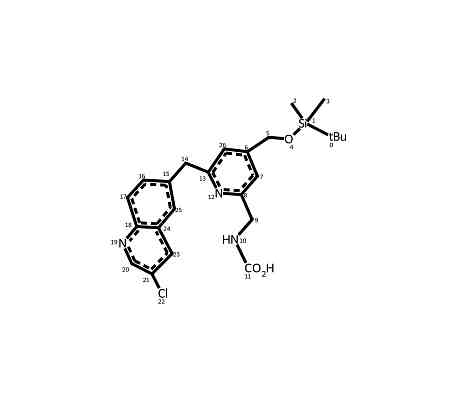 CC(C)(C)[Si](C)(C)OCc1cc(CNC(=O)O)nc(Cc2ccc3ncc(Cl)cc3c2)c1